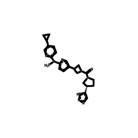 CN(c1ccc(C2CC2)cn1)c1ccc(C2CN(C(=O)N3CC[C@H](c4cnn[nH]4)C3)C2)cn1